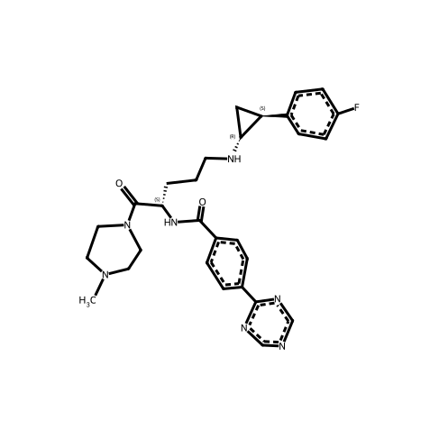 CN1CCN(C(=O)[C@H](CCCN[C@@H]2C[C@H]2c2ccc(F)cc2)NC(=O)c2ccc(-c3ncncn3)cc2)CC1